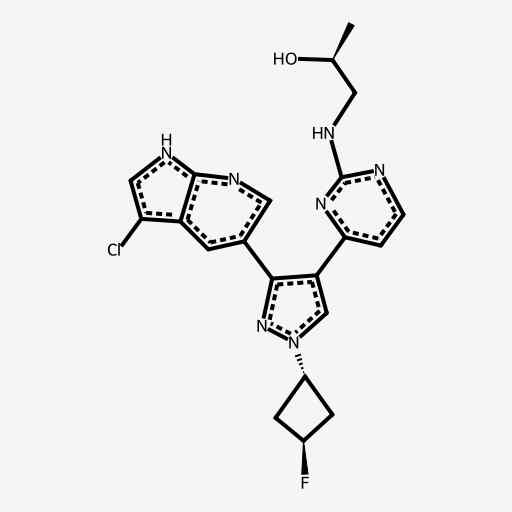 C[C@H](O)CNc1nccc(-c2cn([C@H]3C[C@H](F)C3)nc2-c2cnc3[nH]cc(Cl)c3c2)n1